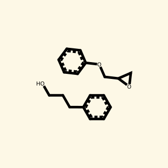 OCCCc1ccccc1.c1ccc(OCC2CO2)cc1